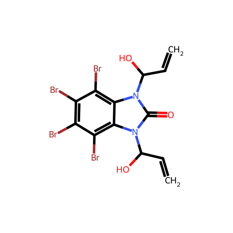 C=CC(O)n1c(=O)n(C(O)C=C)c2c(Br)c(Br)c(Br)c(Br)c21